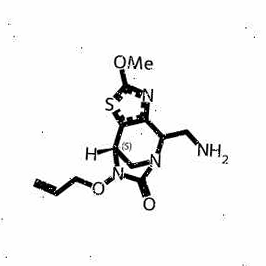 C=CCON1C(=O)N2C[C@H]1c1sc(OC)nc1C2CN